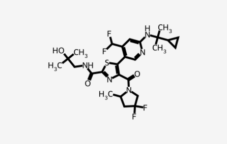 CC1CC(F)(F)CN1C(=O)c1nc(C(=O)NCC(C)(C)O)sc1-c1cnc(NC(C)(C)C2CC2)cc1C(F)F